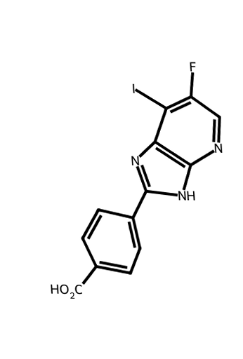 O=C(O)c1ccc(-c2nc3c(I)c(F)cnc3[nH]2)cc1